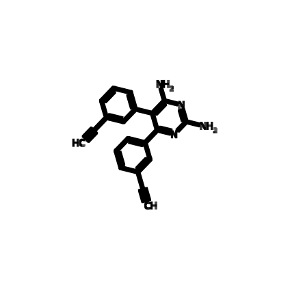 C#Cc1cccc(-c2nc(N)nc(N)c2-c2cccc(C#C)c2)c1